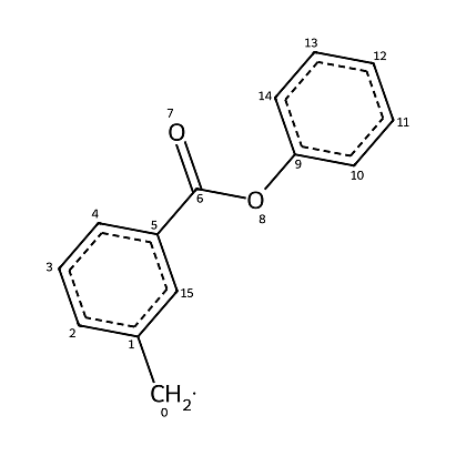 [CH2]c1cccc(C(=O)Oc2ccccc2)c1